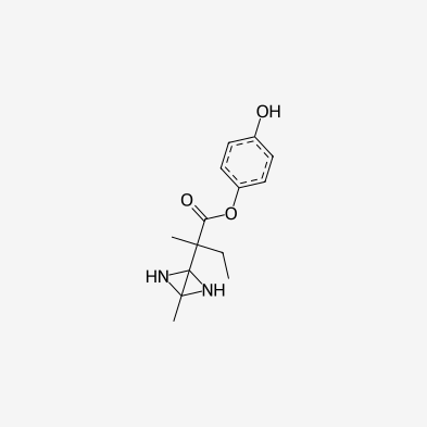 CCC(C)(C(=O)Oc1ccc(O)cc1)C12NC1(C)N2